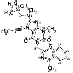 CC#Cn1c(N(C)CC(C)(C)N)nc2c1c(=O)n(Cc1nc(C)c3ccccc3n1)c(=O)n2C